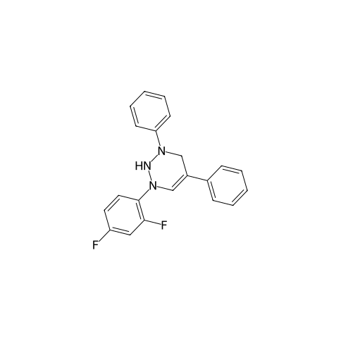 Fc1ccc(N2C=C(c3ccccc3)CN(c3ccccc3)N2)c(F)c1